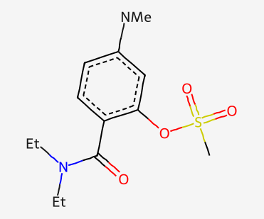 CCN(CC)C(=O)c1ccc(NC)cc1OS(C)(=O)=O